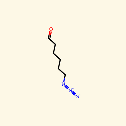 [N-]=[N+]=NCCCCC[C]=O